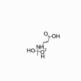 CC(N)(O)O.CC=CC(=O)O